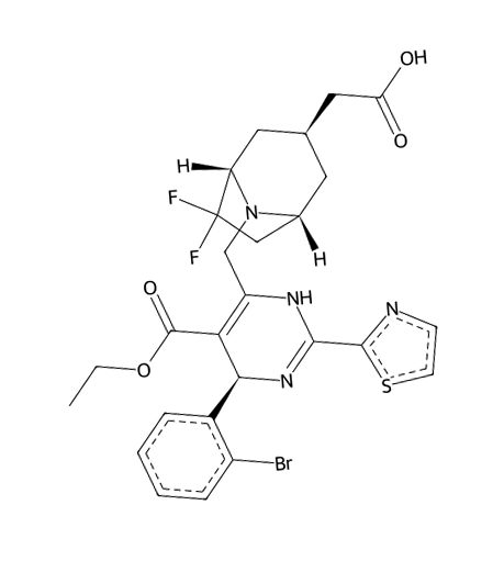 CCOC(=O)C1=C(CN2[C@@H]3C[C@H](CC(=O)O)C[C@H]2C(F)(F)C3)NC(c2nccs2)=N[C@H]1c1ccccc1Br